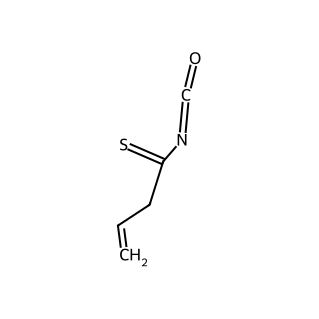 C=CCC(=S)N=C=O